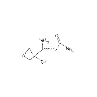 NC(=O)C=C(N)C1(O)COC1